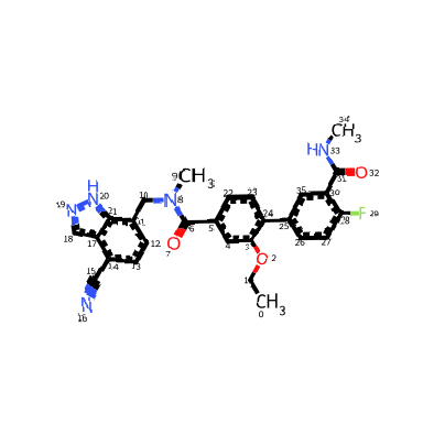 CCOc1cc(C(=O)N(C)Cc2ccc(C#N)c3cn[nH]c23)ccc1-c1ccc(F)c(C(=O)NC)c1